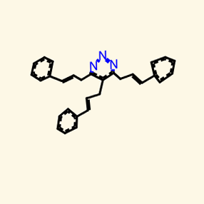 C(=Cc1ccccc1)Cc1nnnc(CC=Cc2ccccc2)c1CC=Cc1ccccc1